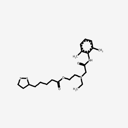 CCN(CCOC(=O)CCCCC1CCSS1)CC(=O)Nc1c(C)cccc1C